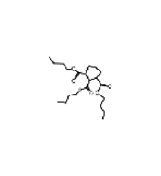 CCCCOC(=O)C1CCCC(C(=O)OCCCC)C1C(=O)OCCCC